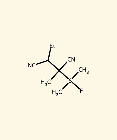 CCC(C#N)C(C)(C#N)S(C)(C)F